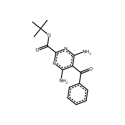 CC(C)(C)OC(=O)c1nc(N)c(C(=O)c2ccccc2)c(N)n1